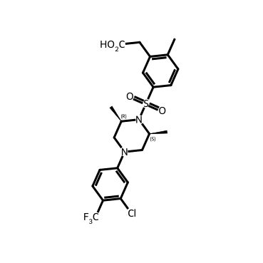 Cc1ccc(S(=O)(=O)N2[C@H](C)CN(c3ccc(C(F)(F)F)c(Cl)c3)C[C@@H]2C)cc1CC(=O)O